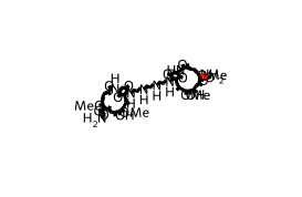 COC1/C=C\C=C(/C)C(=O)NC2=CC(=O)C(NCCCNCCCNCCCNC3=C4CC(C)CC(OC)C(O)C(C)/C=C(\C)C(C(=O)ON)C(OC)/C=C\C=C(/C)C(=O)NC(=CC3=O)C4=O)=C(CC(C)CC(OC)C(O)C(C)/C=C(\C)C1OC(N)=O)C2=O